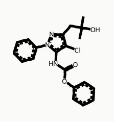 CC(C)(O)Cc1nn(-c2ccccc2)c(NC(=O)Oc2ccccc2)c1Cl